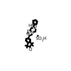 CCOC(CN1CCN(c2c3cccc2ON3)CC1)c1ccc2c(c1)C(C)(C)C(=O)C2(C)C.CS(=O)(=O)O